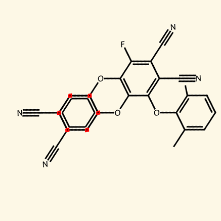 Cc1cccc(C)c1Oc1c(C#N)c(C#N)c(F)c(Oc2ccc(C#N)cc2)c1Oc1ccc(C#N)cc1